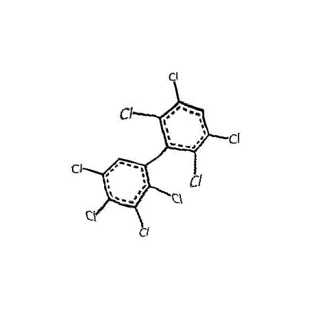 Clc1cc(-c2c(Cl)c(Cl)cc(Cl)c2Cl)c(Cl)c(Cl)c1Cl